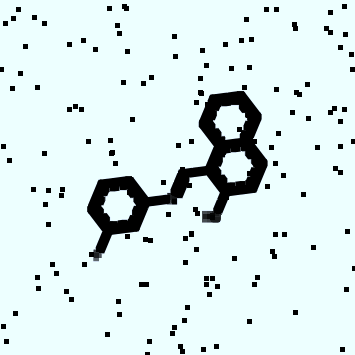 Oc1ccc2ccccc2c1/C=N/c1cccc(F)c1